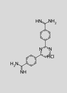 Cl.N=C(N)c1ccc(-c2ccnc(-c3ccc(C(=N)N)cc3)n2)cc1